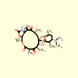 C=C1C(=O)[C@H](C)C[C@](C)(OC)[C@H](O[C@@H]2O[C@H](C)C[C@H](N(C)C)[C@H]2OC(C)=O)[C@@H](C)C(=O)[C@@H](C)C(=O)O[C@H](CC)[C@@]2(C)OC(=O)N[C@H]12